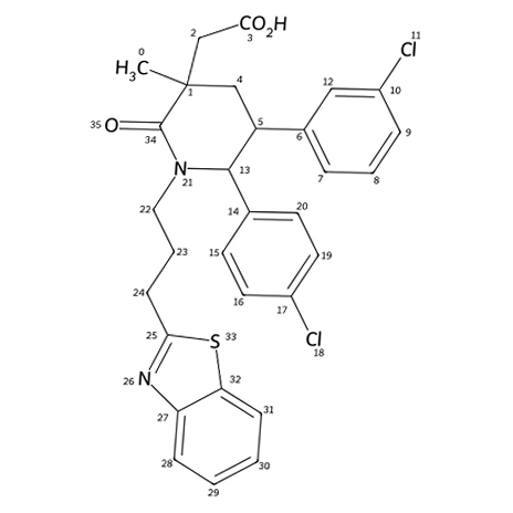 CC1(CC(=O)O)CC(c2cccc(Cl)c2)C(c2ccc(Cl)cc2)N(CCCc2nc3ccccc3s2)C1=O